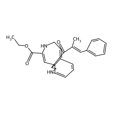 CCOC(=O)C1=CC23C(=CCN1)C=CC=C2NCC3C(=O)C(C)=Cc1ccccc1